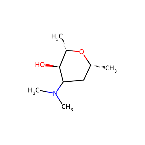 C[C@@H]1CC(N(C)C)[C@@H](O)[C@H](C)O1